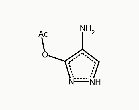 CC(=O)Oc1n[nH]cc1N